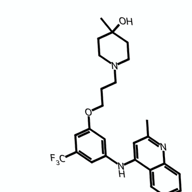 Cc1cc(Nc2cc(OCCCN3CCC(C)(O)CC3)cc(C(F)(F)F)c2)c2ccccc2n1